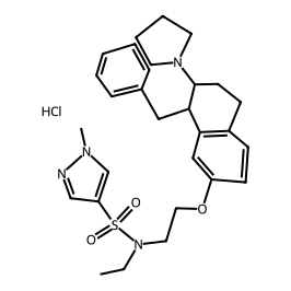 CCN(CCOc1ccc2c(c1)C(Cc1ccccc1)C(N1CCCC1)CC2)S(=O)(=O)c1cnn(C)c1.Cl